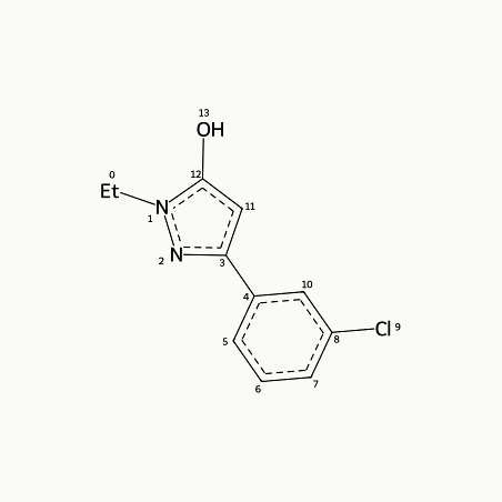 CCn1nc(-c2cccc(Cl)c2)cc1O